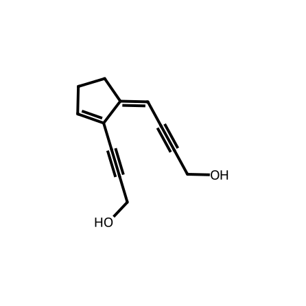 OCC#CC=C1CCC=C1C#CCO